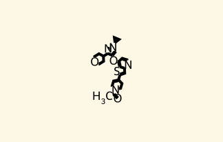 CC(=O)N1CC=C(c2cc3nccc(Oc4cn(C5CC5)nc4C4CCOCC4)c3s2)CC1